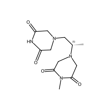 C[C@@H](CN1CC(=O)NC(=O)C1)N1CC(=O)N(C)C(=O)C1